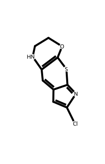 Clc1cc2cc3c(sc-2n1)OCCN3